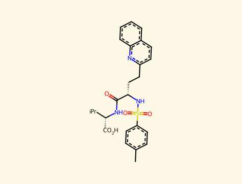 Cc1ccc(S(=O)(=O)N[C@@H](CCc2ccc3ccccc3n2)C(=O)N[C@H](C(=O)O)C(C)C)cc1